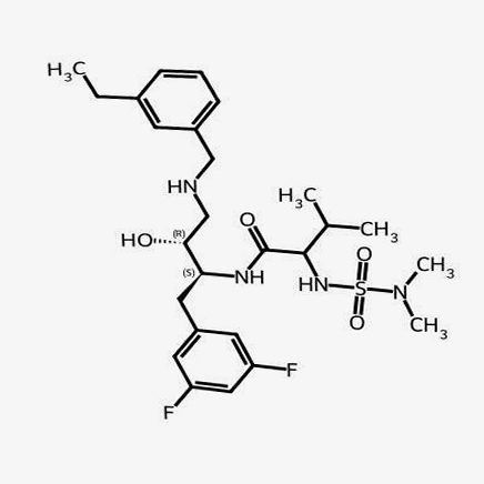 CCc1cccc(CNC[C@@H](O)[C@H](Cc2cc(F)cc(F)c2)NC(=O)C(NS(=O)(=O)N(C)C)C(C)C)c1